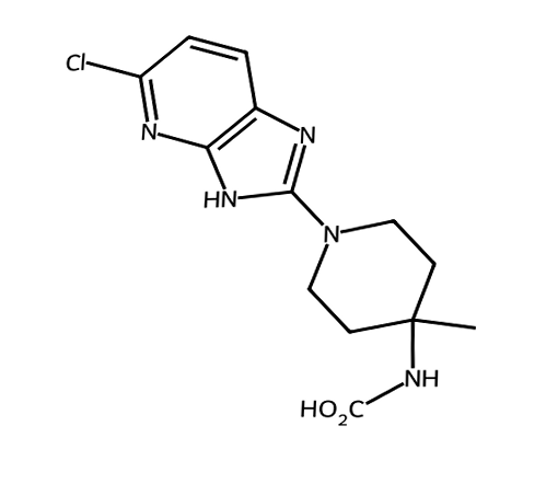 CC1(NC(=O)O)CCN(c2nc3ccc(Cl)nc3[nH]2)CC1